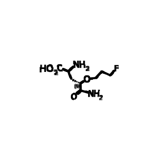 NC(=O)[C@H](CC(N)C(=O)O)OCCCF